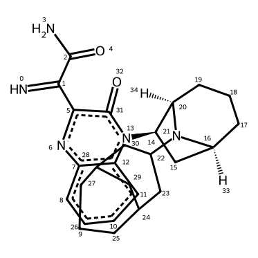 N=C(C(N)=O)c1nc2ccccc2n([C@@H]2C[C@@H]3CCC[C@H]2N3C2CC3CCCC(C3)C2)c1=O